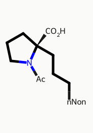 CCCCCCCCCCCC[C@@]1(C(=O)O)CCCN1C(C)=O